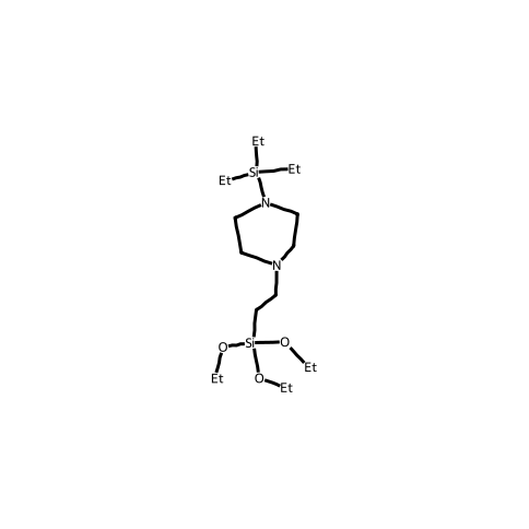 CCO[Si](CCN1CCN([Si](CC)(CC)CC)CC1)(OCC)OCC